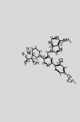 COc1ccc(-c2cc(Cn3cnc4c(N)ncnc43)c(N3CCC[C@](N)([C@@H](O)C(F)F)C3)cn2)c(Cl)c1